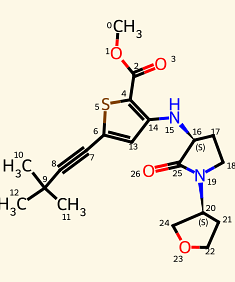 COC(=O)c1sc(C#CC(C)(C)C)cc1N[C@H]1CCN([C@H]2CCOC2)C1=O